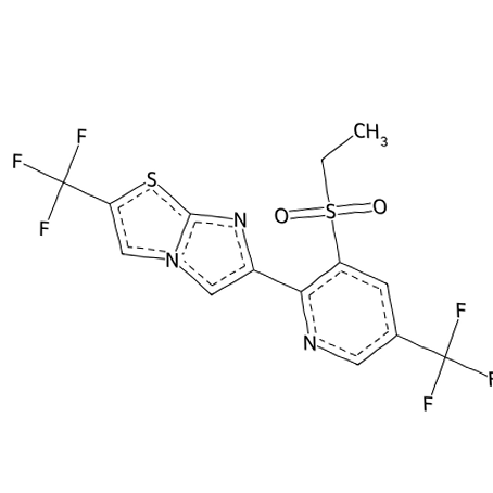 CCS(=O)(=O)c1cc(C(F)(F)F)cnc1-c1cn2cc(C(F)(F)F)sc2n1